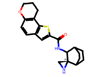 O=C(NC1C2CCC(CC2)[C@@]12CN2)c1cc2ccc3c(c2s1)CCCO3